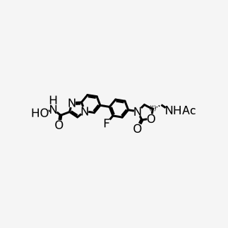 CC(=O)NC[C@H]1CN(c2ccc(-c3ccc4nc(C(=O)NO)cn4c3)c(F)c2)C(=O)O1